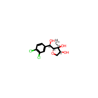 C[C@@]1(O)[C@@H]([C@H](O)c2ccc(Cl)c(Cl)c2)OC[C@@H]1O